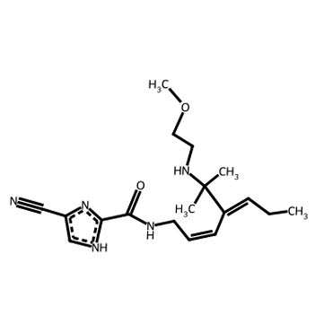 CC/C=C(\C=C/CNC(=O)c1nc(C#N)c[nH]1)C(C)(C)NCCOC